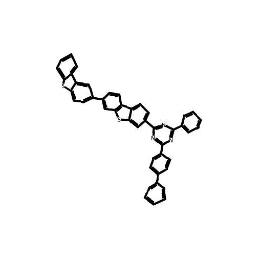 c1ccc(-c2ccc(-c3nc(-c4ccccc4)nc(-c4ccc5c(c4)sc4cc(-c6ccc7sc8ccccc8c7c6)ccc45)n3)cc2)cc1